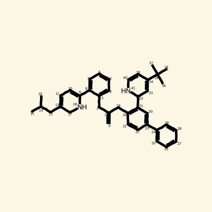 C=C(Cc1ccccc1C1=CC=C(CC(C)C)CN1)Cc1ccc(-c2ccccc2)cc1C1C=C(C(C)(C)C)C=CN1